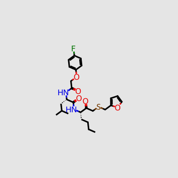 CCCC[C@H](NC(=O)[C@H](CC(C)C)NC(=O)COc1ccc(F)cc1)C(=O)CSCc1ccco1